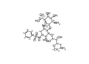 COC(CN)C(O)C(O)OC1C(O)C(NS(=O)(=O)c2ccccc2)CC(N)C1OC1OC([C@@H](C)O)C(O)C(O)C1N